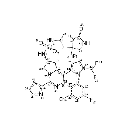 CCCC1(CC(C)NS(=O)(=O)N[C@H]2CC3=C(c4ccn(C(F)F)n4)[C@H](c4ccc(F)cc4Cl)N=C(c4nccs4)N3C2)CNC(=O)O1